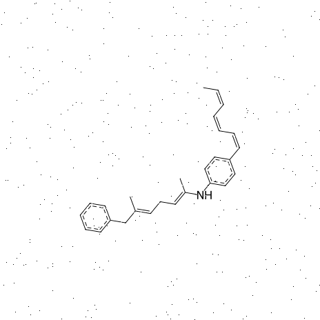 C\C=C/C=C\C=C/c1ccc(N/C(C)=C/C/C=C(\C)Cc2ccccc2)cc1